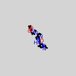 Cc1cn2cc(NC(=O)N3CCc4c(N5CCN(C(=O)OC(C)(C)C)C(C)(C)C5)ccnc43)c(C)cc2n1